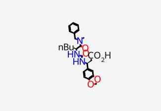 CCCC[C@H](NC(=O)N[C@@H](CC(=O)O)c1ccc2c(c1)OCO2)C(=O)N(C)Cc1ccccc1